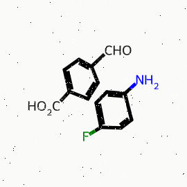 Nc1ccc(F)cc1.O=Cc1ccc(C(=O)O)cc1